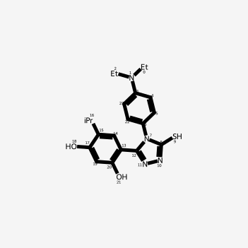 CCN(CC)c1ccc(-n2c(S)nnc2-c2cc(C(C)C)c(O)cc2O)cc1